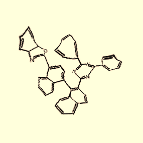 C1=CC2N=C(c3ccc(-c4c(-c5nc(-c6ccccc6)nc(-c6ccccc6)n5)ccc5ccccc45)c4ccccc34)OC2C=C1